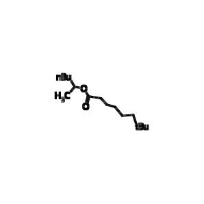 CCCCC(C)OC(=O)CCCCCC(C)(C)C